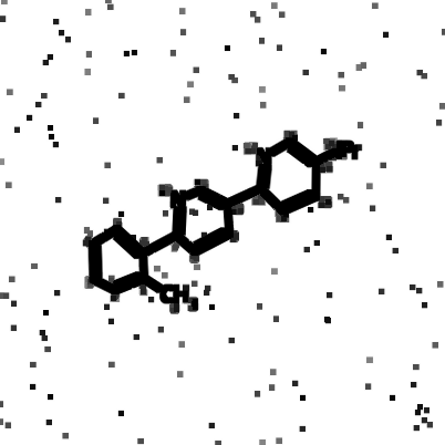 Cc1ccccc1-c1ccc(-c2ccc(C(C)C)cn2)cn1